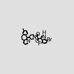 Cc1ccc2c(c1)CCc1cccnc1C2=C1CCN(C(=O)C(=O)c2c[nH]c3c(Br)ccc(F)c23)CC1